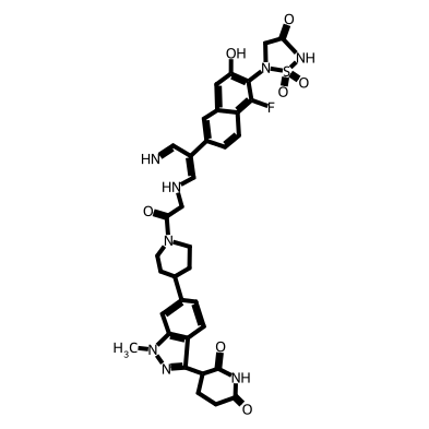 Cn1nc(C2CCC(=O)NC2=O)c2ccc(C3CCN(C(=O)CN/C=C(\C=N)c4ccc5c(F)c(N6CC(=O)NS6(=O)=O)c(O)cc5c4)CC3)cc21